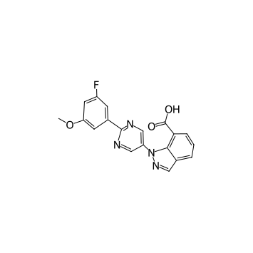 COc1cc(F)cc(-c2ncc(-n3ncc4cccc(C(=O)O)c43)cn2)c1